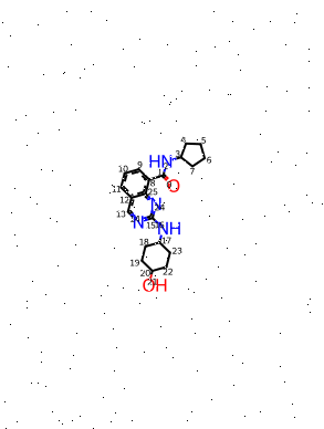 O=C(NC1CCCC1)c1cccc2cnc(NC3CCC(O)CC3)nc12